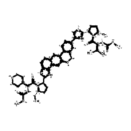 CC[C@H]1CCC(c2nc3ccc4cc5c(cc4c3[nH]2)OCc2cc(-c3cnc([C@@H]4CC[C@H](C)N4C(=O)[C@@H](NC(=O)OC)C(C)C)[nH]3)ccc2-5)N1C(=O)[C@@H](NC(=O)OC)C1CCOCC1